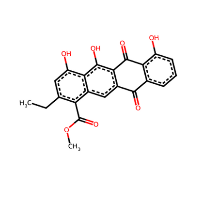 CCc1cc(O)c2c(O)c3c(cc2c1C(=O)OC)C(=O)c1cccc(O)c1C3=O